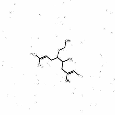 CC=C(C)CC(C)C(CC=C(C)C(=O)O)OCSC